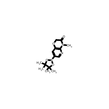 CN1C(=O)COc2cc(B3OC(C)(C)C(C)(C)O3)cnc21